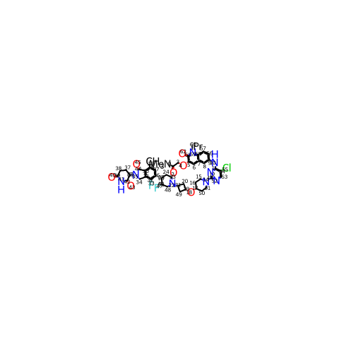 CNC(=O)COc1cc2cc(Nc3nc(N4CCC(O[C@H]5C[C@H](N6CC[C@@H](c7cc(C)c8c(c7F)CN([C@H]7CCC(=O)NC7=O)C8=O)[C@@H](F)C6)C5)CC4)ncc3Cl)ccc2n(C(C)C)c1=O